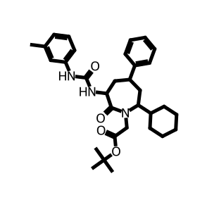 Cc1cccc(NC(=O)NC2CC(c3ccccc3)CC(C3CCCCC3)N(CC(=O)OC(C)(C)C)C2=O)c1